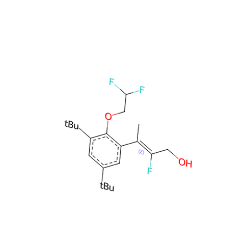 C/C(=C(/F)CO)c1cc(C(C)(C)C)cc(C(C)(C)C)c1OCC(F)F